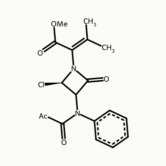 COC(=O)C(=C(C)C)N1C(=O)C(N(C(=O)C(C)=O)c2ccccc2)[C@H]1Cl